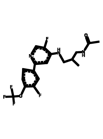 CC(=O)NCC(C)CNc1cc(-c2ccc(OC(F)(F)F)c(F)c2)ncc1F